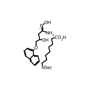 CCCCCCCCCCCCCCCCCC(=O)O.N/C(CC(O)COc1cccc2ccccc12)=N\O